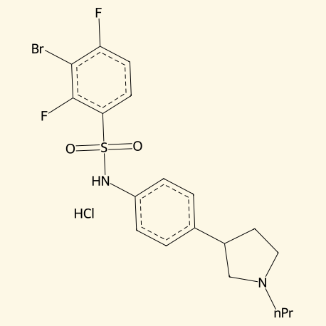 CCCN1CCC(c2ccc(NS(=O)(=O)c3ccc(F)c(Br)c3F)cc2)C1.Cl